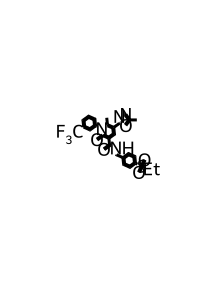 CCS(=O)(=O)c1ccc(CNC(=O)c2cc(-c3nnc(C)o3)c(C)n(-c3cccc(C(F)(F)F)c3)c2=O)cc1